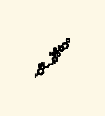 O=S(=O)(N[C@H]1CCN(CCCc2noc3cc(F)ccc23)C1)c1cc2ccc(Cl)cc2s1